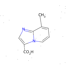 Cc1cccn2c(C(=O)O)cnc12